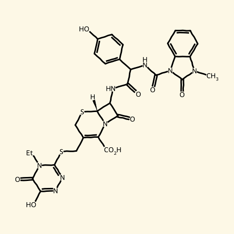 CCn1c(SCC2=C(C(=O)O)N3C(=O)C(NC(=O)C(NC(=O)n4c(=O)n(C)c5ccccc54)c4ccc(O)cc4)[C@H]3SC2)nnc(O)c1=O